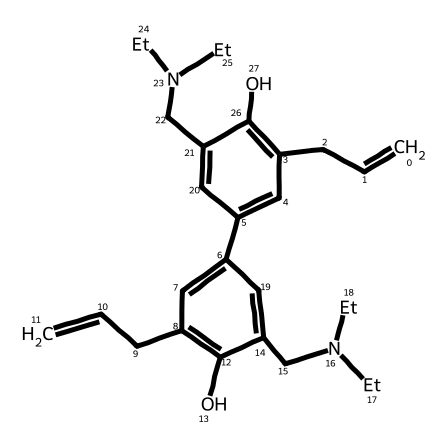 C=CCc1cc(-c2cc(CC=C)c(O)c(CN(CC)CC)c2)cc(CN(CC)CC)c1O